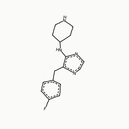 Fc1ccc(Cc2nccnc2NC2CCNCC2)cc1